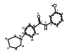 O=C(Nc1cccc(Cl)c1)c1ccc(N2CCCCC2)nc1